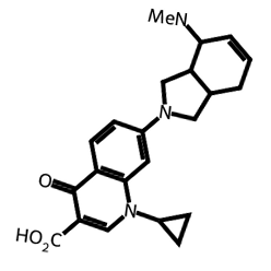 CNC1C=CCC2CN(c3ccc4c(=O)c(C(=O)O)cn(C5CC5)c4c3)CC21